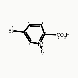 CCc1ccc(C(=O)O)[n+]([O-])c1